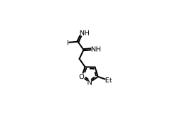 CCc1cc(CC(=N)C(=N)I)on1